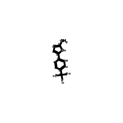 Nc1ncc(-c2ccc(C(F)(F)F)cn2)o1